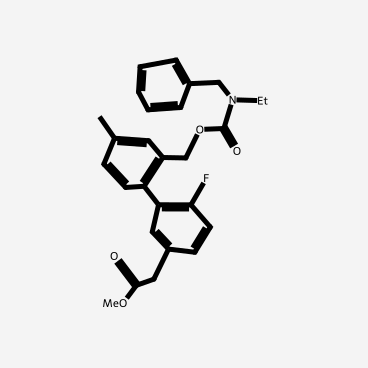 CCN(Cc1ccccc1)C(=O)OCc1cc(C)ccc1-c1cc(CC(=O)OC)ccc1F